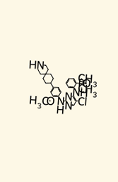 COc1cc(C2CCC3(CCNCC3)CC2)ccc1Nc1ncc(Cl)c(Nc2ccccc2P(C)(C)=O)n1